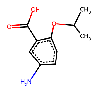 CC(C)Oc1ccc(N)cc1C(=O)O